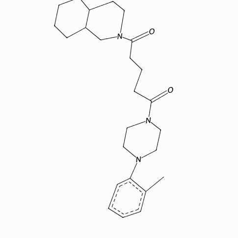 Cc1ccccc1N1CCN(C(=O)CCCC(=O)N2CCC3CCCCC3C2)CC1